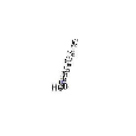 CCCCCCCCCCCCCCC=C/C=C/C(=O)O